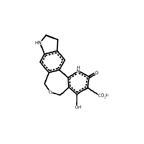 O=C(O)c1c(O)c2c([nH]c1=O)-c1cc3c(cc1COC2)NCC3